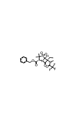 CC[C@@]1(N(C)C(=O)C(F)(F)F)C(=O)N2[C@@H](C(=O)OCc3ccccc3)C(C)(C)S(=O)(=O)[C@@H]21